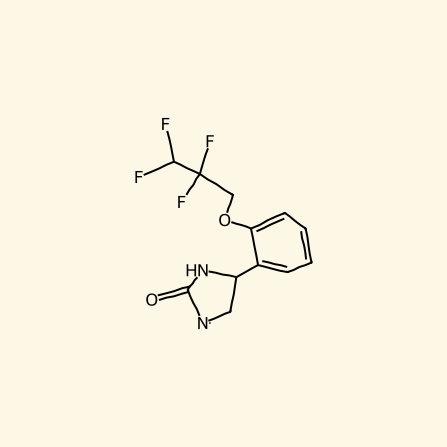 O=C1[N]CC(c2ccccc2OCC(F)(F)C(F)F)N1